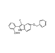 COc1ccccc1-c1[nH]c2ccc(OCc3ccccc3)cc2c1F